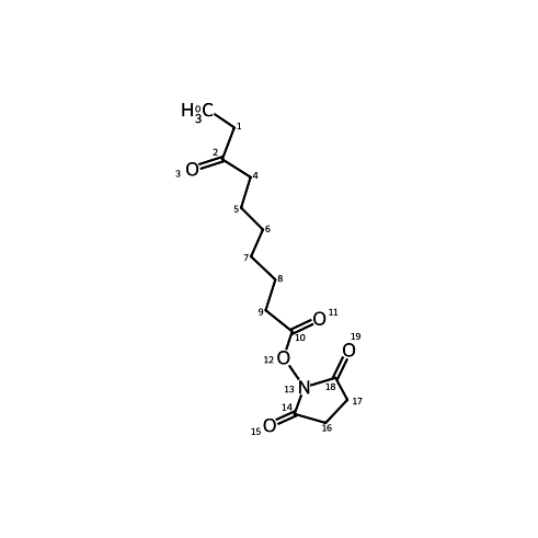 CCC(=O)CCCCCCC(=O)ON1C(=O)CCC1=O